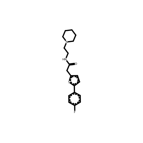 O=C(Cc1ccc(-c2ccc(F)cc2)s1)NCCN1CCCCC1